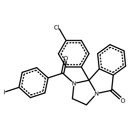 O=C(c1ccc(I)cc1)N1CCN2C(=O)c3ccccc3C12c1ccc(Cl)cc1